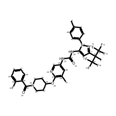 Cc1ccc(-n2nc(C(C)(C(F)(F)F)C(F)(F)F)cc2NC(=O)Nc2cnc(OC3CCN(C(=O)c4ccccc4F)CC3)c(C)c2)cc1